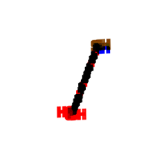 O=P(O)(O)CCCCCCCCCCCCCCCCCCCCCCCCCCCCCCCCNC(=S)S